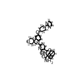 NC(=O)C1(NC(=O)c2cnc(N3CC4(CCOCC4)c4cc(OC5CCN(c6ncccn6)CC5)ccc43)nc2C(F)(F)F)C2CC3CC(C2)CC1C3